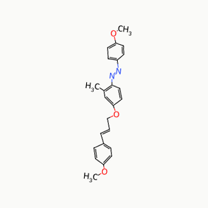 COc1ccc(C=CCOc2ccc(N=Nc3ccc(OC)cc3)c(C)c2)cc1